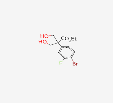 CCOC(=O)C(CO)(CO)c1ccc(Br)c(F)c1